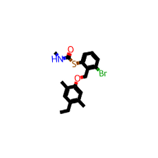 CCc1cc(C)c(OCc2c(Br)cccc2SC(=O)NC)cc1C